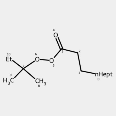 CCCCCCCCCC(=O)OOC(C)(C)CC